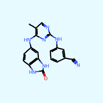 Cc1cnc(Nc2cccc(C#N)c2)nc1Nc1ccc2[nH]c(=O)[nH]c2c1